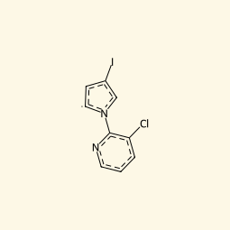 Clc1cccnc1-n1[c]cc(I)c1